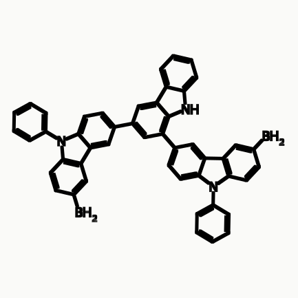 Bc1ccc2c(c1)c1cc(-c3cc(-c4ccc5c(c4)c4cc(B)ccc4n5-c4ccccc4)c4[nH]c5ccccc5c4c3)ccc1n2-c1ccccc1